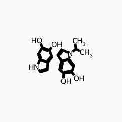 CC(C)n1ccc2cc(O)c(O)cc21.Oc1cc2cc[nH]c2cc1O